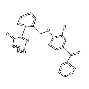 CNC(=O)/C(=N\OC)c1ccccc1COc1ncc(C(=O)c2ccccc2)cc1Cl